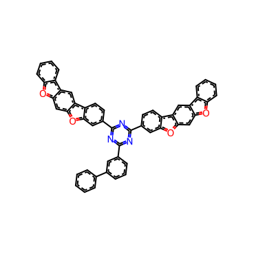 c1ccc(-c2cccc(-c3nc(-c4ccc5c(c4)oc4cc6oc7ccccc7c6cc45)nc(-c4ccc5c(c4)oc4cc6oc7ccccc7c6cc45)n3)c2)cc1